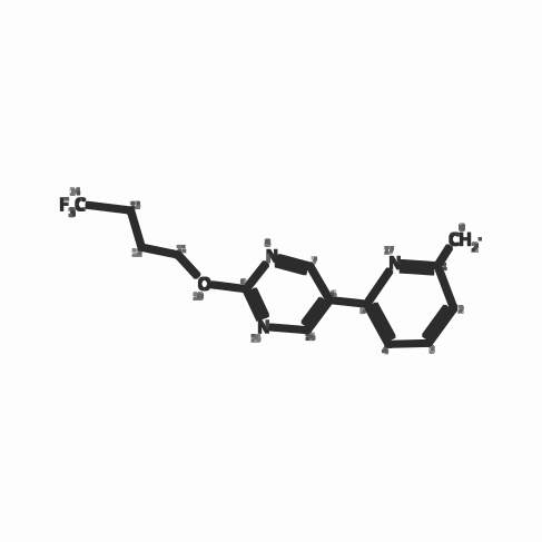 [CH2]c1cccc(-c2cnc(OCCCC(F)(F)F)nc2)n1